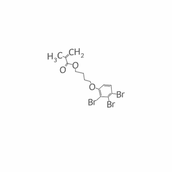 C=C(C)C(=O)OCCCCOc1ccc(Br)c(Br)c1Br